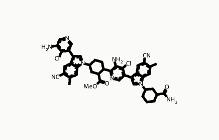 COC(=O)C1CC(n2cc(-c3cncc(N)c3Cl)c3cc(C#N)c(C)cc32)CCC1c1ncc(-c2cn(C3CCCC(C(N)=O)C3)c3cc(C)c(C#N)cc23)c(Cl)c1N